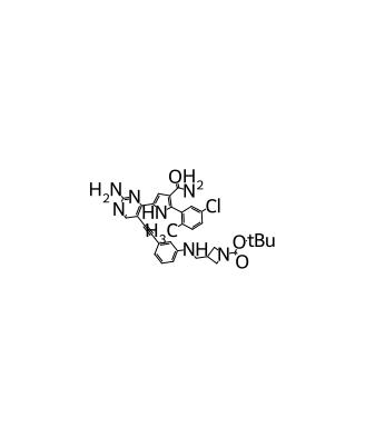 Cc1ccc(Cl)cc1-c1[nH]c(-c2nc(N)ncc2C#Cc2cccc(NCC3CN(C(=O)OC(C)(C)C)C3)c2)cc1C(N)=O